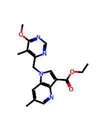 CCOC(=O)c1cn(Cc2ncnc(OC)c2C)c2cc(C)cnc12